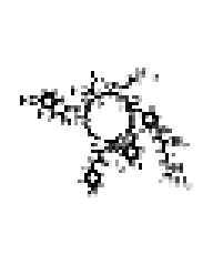 CC(O)C1NC(=O)[C@H](CCCCN)NC(=O)[C@@H](Cc2ccc(NC(=O)[C@@H](N)CCCNC(N)=O)cc2)NC(=O)[C@H](Cc2ccc(O)cc2)NC(=O)[C@H](NC(=O)[C@@H](N)Cc2ccc(Cl)cc2)CSSC[C@@H](C(=O)N[C@H](Cc2ccc(O)cc2)C(N)=O)NC1=O